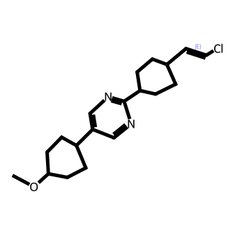 COC1CCC(c2cnc(C3CCC(/C=C/Cl)CC3)nc2)CC1